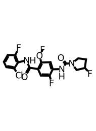 O=C(Nc1c(F)cccc1Cl)c1cc(F)c(NC(=O)N2CCC(F)C2)cc1OF